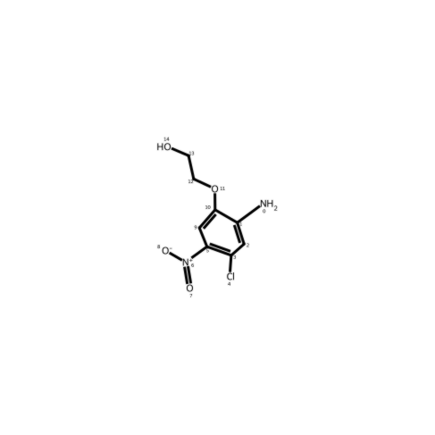 Nc1cc(Cl)c([N+](=O)[O-])cc1OCCO